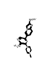 CC(=O)Nc1cn2cc(-c3cnc(N)c(N4CCN(C)CC4)n3)ccc2n1